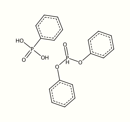 O=P(O)(O)c1ccccc1.O=[PH](Oc1ccccc1)Oc1ccccc1